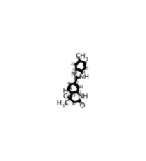 Cc1ccc2[nH]c(-c3ccc4c(c3)NC(=O)CC4(C)C)nc2c1